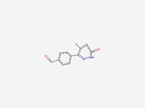 Cc1cc(=O)[nH]nc1-c1ccc(C=O)cc1